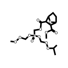 COOCOP(=O)(COC(=O)C1C2CCC(O2)C1C(=O)OC)OCOOC(C)C